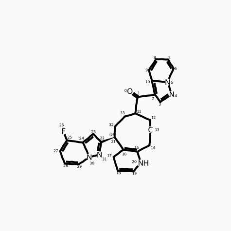 O=C(c1cnn2ccccc12)C1CCCC2=C(CC=CN2)[C@@H](c2cc3c(F)cccn3n2)CC1